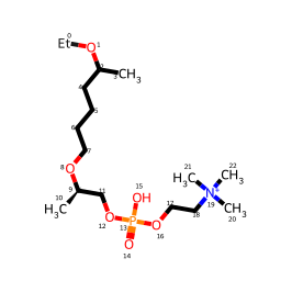 CCOC(C)CCCCO[C@H](C)COP(=O)(O)OCC[N+](C)(C)C